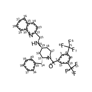 O=C(c1cc(C(F)(F)F)cc(C(F)(F)F)c1)N1CC[C@H](NCc2ccc3ccccc3n2)C[C@H]1Cc1ccccc1